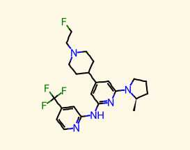 C[C@@H]1CCCN1c1cc(C2CCN(CCF)CC2)cc(Nc2cc(C(F)(F)F)ccn2)n1